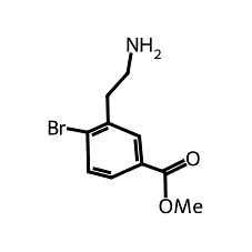 COC(=O)c1ccc(Br)c(CCN)c1